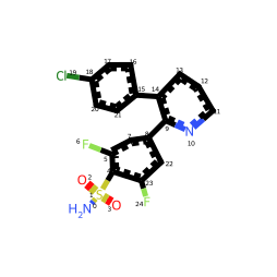 NS(=O)(=O)c1c(F)cc(-c2ncccc2-c2ccc(Cl)cc2)cc1F